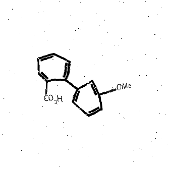 COc1cccc(-c2ccccc2C(=O)O)c1